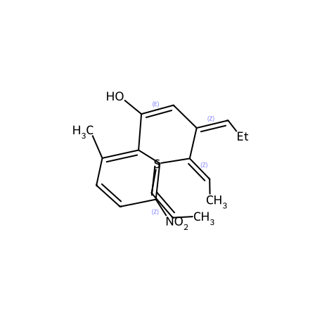 C/C=C\SC(=C\C)/C(=C\CC)/C=C(/O)c1cc([N+](=O)[O-])ccc1C